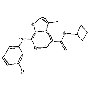 C=C(NC1CCC1)c1cnc(Nc2cccc(Cl)c2)c2[nH]cc(C)c12